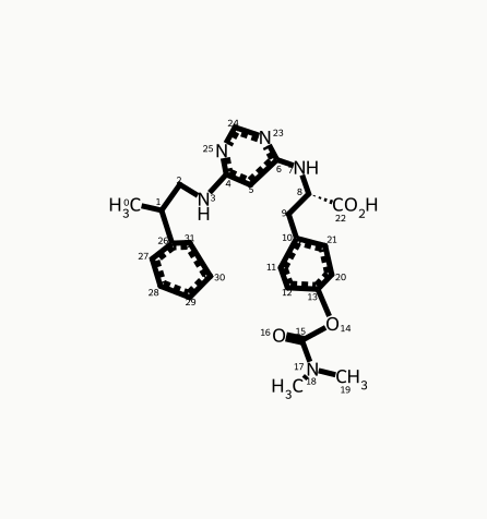 CC(CNc1cc(N[C@@H](Cc2ccc(OC(=O)N(C)C)cc2)C(=O)O)ncn1)c1ccccc1